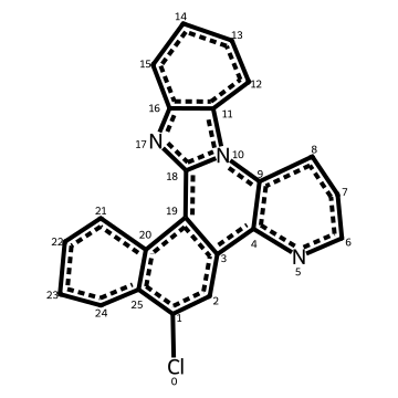 Clc1cc2c3ncccc3n3c4ccccc4nc3c2c2ccccc12